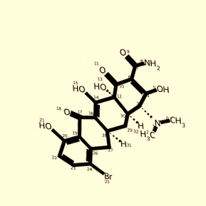 CN(C)[C@H]1C(O)=C(C(N)=O)C(=O)[C@]2(O)C(O)=C3C(=O)c4c(O)ccc(Br)c4C[C@@H]3C[C@H]12